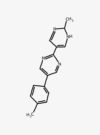 Cc1ccc(-c2cnc(C3=CNC(C)N=C3)nc2)cc1